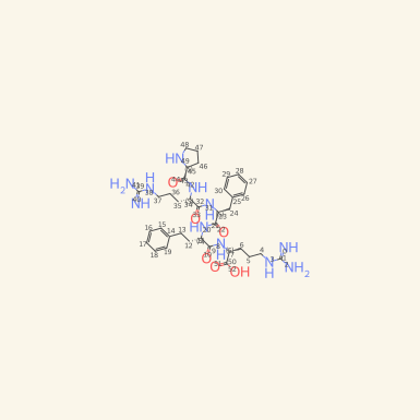 N=C(N)NCCC[C@H](NC(=O)[C@H](CCc1ccccc1)NC(=O)[C@H](Cc1ccccc1)NC(=O)[C@H](CCCNC(=N)N)NC(=O)[C@@H]1CCCN1)C(=O)O